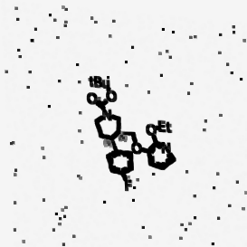 CCOc1ncccc1OC[C@@H]1CN(C(=O)OC(C)(C)C)CC[C@@H]1c1ccc(F)cc1